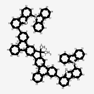 CC1(C)c2cc3c4ccc(-c5cccc6c5oc5c(-n7c8ccccc8c8ccccc87)cccc56)cc4c4ccccc4c3cc2-c2cc3c4ccccc4c4cc(-c5cccc6c5oc5c(-n7c8ccccc8c8ccccc87)cccc56)ccc4c3cc21